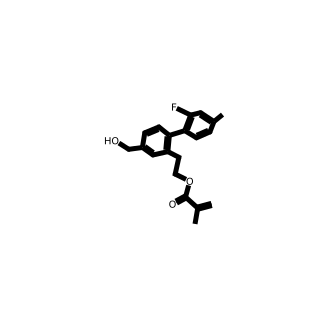 C=C(C)C(=O)OCCc1cc(CO)ccc1-c1ccc(C)cc1F